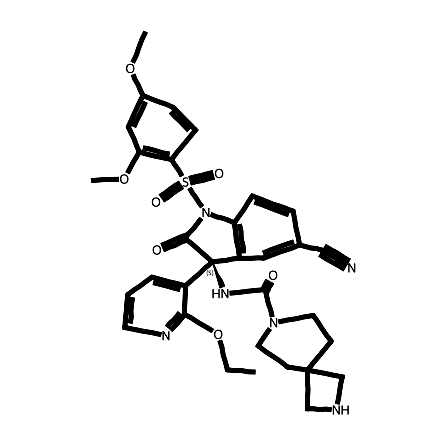 CCOc1ncccc1[C@]1(NC(=O)N2CCC3(CC2)CNC3)C(=O)N(S(=O)(=O)c2ccc(OC)cc2OC)c2ccc(C#N)cc21